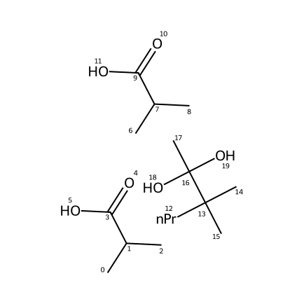 CC(C)C(=O)O.CC(C)C(=O)O.CCCC(C)(C)C(C)(O)O